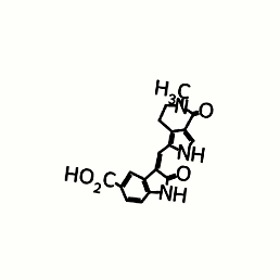 CN1CCc2c(c[nH]c2/C=C2\C(=O)Nc3ccc(C(=O)O)cc32)C1=O